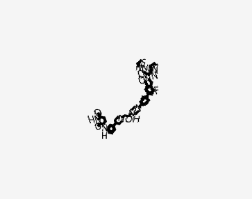 O=C1CCC(Nc2cccc(C3CCN(CC(O)N4CCN(c5ccc(-c6cc(F)c7c(c6)C(=O)N(C(C(=O)Nc6nccs6)c6ncn8c6CCC8)C7)cc5)CC4)CC3)c2)C(=O)N1